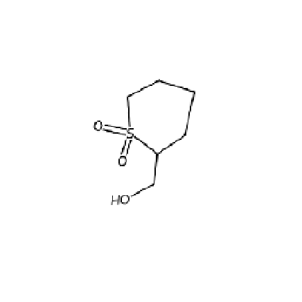 O=S1(=O)CCCCC1CO